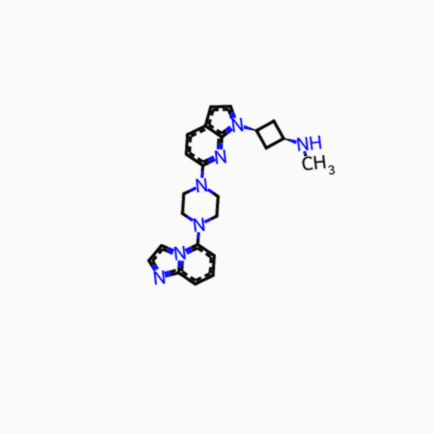 CN[C@H]1C[C@@H](n2ccc3ccc(N4CCN(c5cccc6nccn56)CC4)nc32)C1